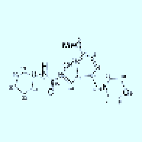 COc1ccc(CN2CCOCC2)c2cc(C(=O)NC3CCCCC3)oc12